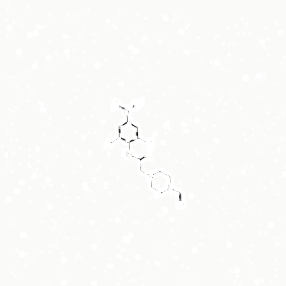 O=CN1CCN(CC(=O)Nc2c(Cl)cc([N+](=O)[O-])cc2Cl)CC1